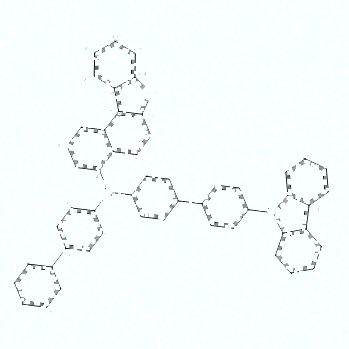 c1ccc(-c2ccc(N(c3ccc(-c4ccc(-n5c6ccccc6c6ccccc65)cc4)cc3)c3cccc4c3ccc3oc5ccccc5c34)cc2)cc1